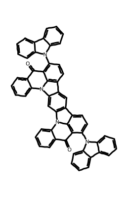 O=c1c2ccccc2n2c3cc4c(cc3c3ccc(-n5c6ccccc6c6ccccc65)c1c32)c1ccc(-n2c3ccccc3c3ccccc32)c2c(=O)c3ccccc3n4c21